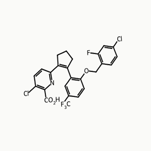 O=C(O)c1nc(C2=C(c3cc(C(F)(F)F)ccc3OCc3ccc(Cl)cc3F)CCC2)ccc1Cl